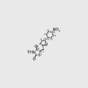 CCN1C(=O)S/C(=C/c2ccc(-c3ccc([N+](=O)[O-])cc3)o2)C1=O